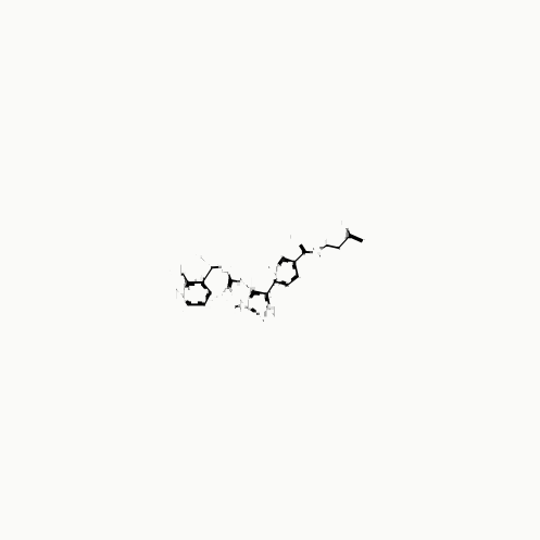 C=C(Cl)CCNC(=O)c1ccc(-c2nnn(C)c2NC(=O)O[C@H](C)c2cccnc2Cl)nc1